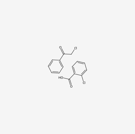 O=C(CCl)c1ccccc1.O=C(O)c1ccccc1Cl